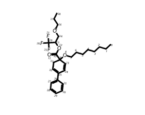 CCCCCCCCOC1(C(=O)OC(COCCC)C(F)(F)F)C=CC(c2ccccc2)=CC1